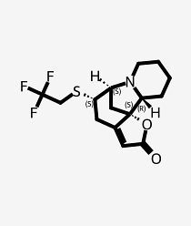 O=C1C=C2C[C@H](SCC(F)(F)F)[C@@H]3C[C@@]2(O1)[C@H]1CCCCN31